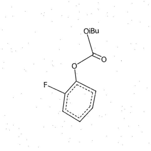 CC(C)COC(=O)Oc1ccccc1F